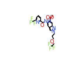 COC(=O)c1cc2nn(CCCOCC(F)(F)F)cc2cc1NC(=O)c1cccc(C(F)(F)F)n1